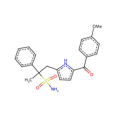 COc1ccc(C(=O)c2ccc(CC(C)(c3ccccc3)S(N)(=O)=O)[nH]2)cc1